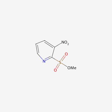 COS(=O)(=O)c1ncccc1[N+](=O)[O-]